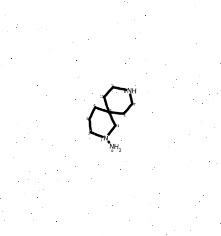 NN1CCCC2(CCNCC2)C1